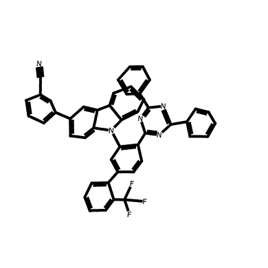 N#Cc1cccc(-c2ccc3c(c2)c2ccccc2n3-c2cc(-c3ccccc3C(F)(F)F)ccc2-c2nc(-c3ccccc3)nc(-c3ccccc3)n2)c1